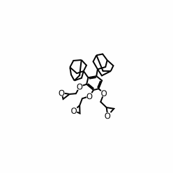 c1c(OCC2CO2)c(OCC2CO2)c(OCC2CO2)c(C23CC4CC(CC(C4)C2)C3)c1C12CC3CC(CC(C3)C1)C2